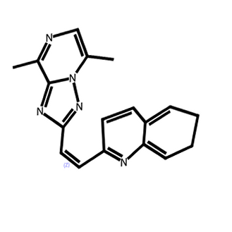 Cc1ncc(C)n2nc(/C=C\c3ccc4c(n3)=CCCC=4)nc12